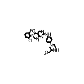 COCC1CN(c2ccc(Nc3ncc4c(n3)N(C)CN(c3c(F)cccc3Cl)C4=O)cc2)CCN1